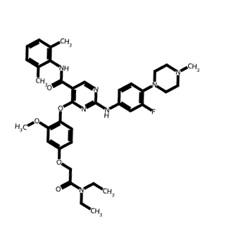 CCN(CC)C(=O)COc1ccc(Oc2nc(Nc3ccc(N4CCN(C)CC4)c(F)c3)ncc2C(=O)Nc2c(C)cccc2C)c(OC)c1